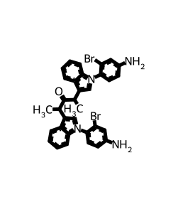 CC(C(=O)C(C)c1cn(-c2ccc(N)cc2Br)c2ccccc12)c1cn(-c2ccc(N)cc2Br)c2ccccc12